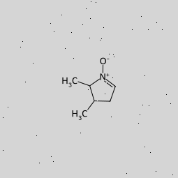 CC1CC=[N+]([O-])C1C